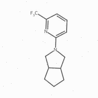 FC(F)(F)c1cccc(N2CC3CCCC3C2)n1